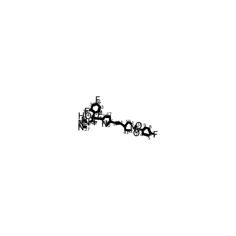 O=S(=O)(c1ccc(F)cc1)N1CCC(C#Cc2ccc(C(F)(F)C(O)(Cn3cnnn3)c3ccc(F)cc3F)nc2)CC1